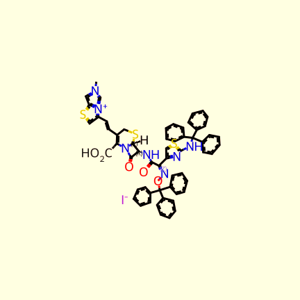 Cn1cc2scc(C=CC3=C(C(=O)O)N4C(=O)[C@@H](NC(=O)/C(=N\OC(c5ccccc5)(c5ccccc5)c5ccccc5)c5csc(NC(c6ccccc6)(c6ccccc6)c6ccccc6)n5)[C@H]4SC3)[n+]2c1.[I-]